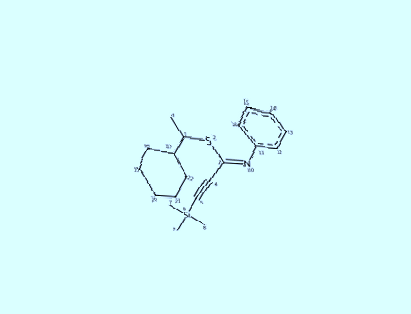 CC(SC(C#C[Si](C)(C)C)=Nc1ccccc1)C1CCCCC1